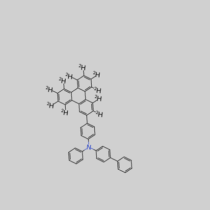 [2H]c1c(-c2ccc(N(c3ccccc3)c3ccc(-c4ccccc4)cc3)cc2)cc2c(c1[2H])c1c([2H])c([2H])c([2H])c([2H])c1c1c([2H])c([2H])c([2H])c([2H])c21